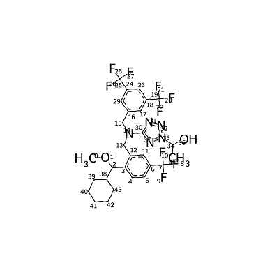 COC(c1ccc(C(F)(F)F)cc1CN(Cc1cc(C(F)(F)F)cc(C(F)(F)F)c1)c1nnn(C(C)O)n1)C1CCCCC1